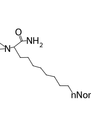 CCCCCCCCCCCCCCCCCC(C(N)=O)N1CC1